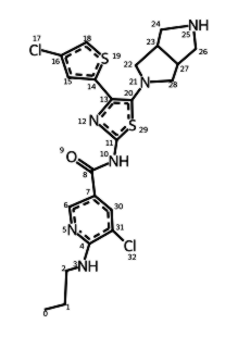 CCCNc1ncc(C(=O)Nc2nc(-c3cc(Cl)cs3)c(N3CC4CNCC4C3)s2)cc1Cl